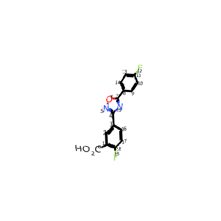 O=C(O)c1cc(-c2noc(-c3ccc(F)cc3)n2)ccc1F